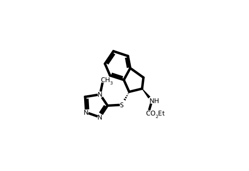 CCOC(=O)N[C@@H]1Cc2ccccc2[C@H]1Sc1nncn1C